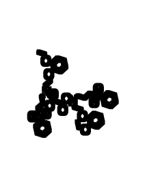 CCOc1ccccc1OCCN(CCCS(=O)(=O)c1ccccc1)OC(=O)C(=O)ON(CCCS(=O)(=O)c1ccccc1)CCOc1ccccc1OCC